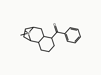 C[N+]1(C)C2CCC1C1CCCC(C(=O)c3ccccc3)C1C2